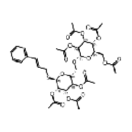 CC(=O)OC[C@H]1O[C@H](OC[C@H]2O[C@H](SCC=Cc3ccccc3)[C@@H](OC(C)=O)[C@@H](OC(C)=O)[C@@H]2OC(C)=O)[C@@H](OC(C)=O)[C@@H](OC(C)=O)[C@@H]1OC(C)=O